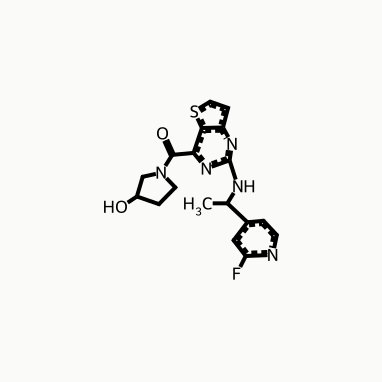 CC(Nc1nc(C(=O)N2CCC(O)C2)c2sccc2n1)c1ccnc(F)c1